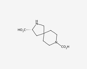 O=C(O)[C@H]1CC2(CCN(C(=O)O)CC2)CN1